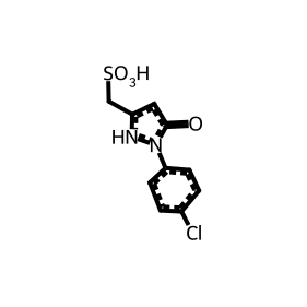 O=c1cc(CS(=O)(=O)O)[nH]n1-c1ccc(Cl)cc1